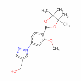 COc1cc(-n2cc(CO)cn2)ccc1B1OC(C)(C)C(C)(C)O1